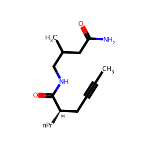 CC#CC[C@@H](CCC)C(=O)NCC(C)CC(N)=O